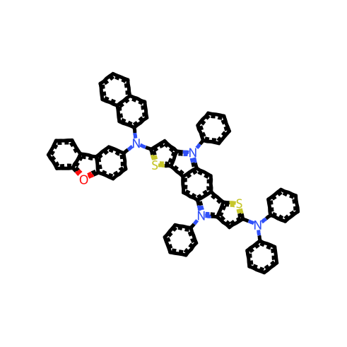 c1ccc(N(c2ccccc2)c2cc3c(s2)c2cc4c(cc2n3-c2ccccc2)c2sc(N(c3ccc5ccccc5c3)c3ccc5oc6ccccc6c5c3)cc2n4-c2ccccc2)cc1